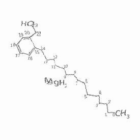 CCCCCCCCCCCCCCCc1ccccc1CO.[MgH2]